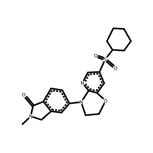 CN1Cc2cc(N3CCOc4cc(S(=O)(=O)C5CCCCC5)cnc43)ccc2C1=O